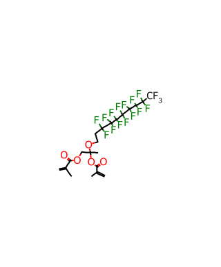 C=C(C)C(=O)OCC(C)(OCCC(F)(F)C(F)(F)C(F)(F)C(F)(F)C(F)(F)C(F)(F)C(F)(F)C(F)(F)F)OC(=O)C(=C)C